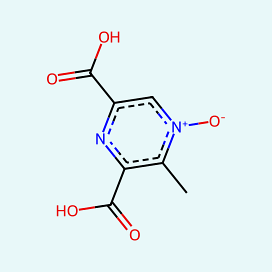 Cc1c(C(=O)O)nc(C(=O)O)c[n+]1[O-]